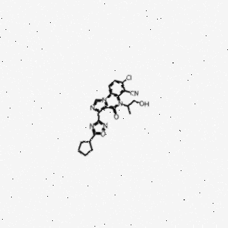 CC(CO)n1c(=O)c2c(-c3noc(C4CCCC4)n3)ncn2c2ccc(Cl)c(C#N)c21